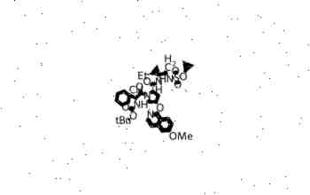 C=C(NS(=O)(=O)OC1CC1)[C@@]1(NC(=O)[C@@H]2C[C@@H](Oc3nccc4cc(OC)ccc34)CN2C(=O)[C@@H](NC(=O)OC(C)(C)C)C2(C)CCCCC2)C[C@H]1CC